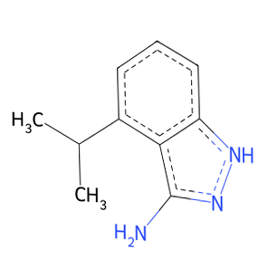 CC(C)c1cccc2[nH]nc(N)c12